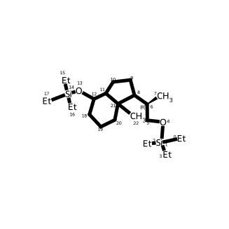 CC[Si](CC)(CC)OC[C@H](C)C1CCC2C(O[Si](CC)(CC)CC)CCCC21C